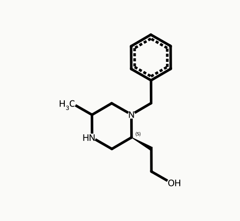 CC1CN(Cc2ccccc2)[C@@H](CCO)CN1